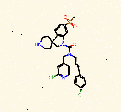 CS(=O)(=O)c1ccc2c(c1)N(C(=O)N(CC=Cc1ccc(Cl)cc1)Cc1ccnc(Cl)c1)CC21CCNCC1